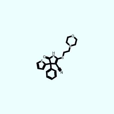 N#CC1=C(SCCN2CCOCC2)NC(=O)C1(c1ccccc1)c1cccs1